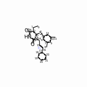 CCc1c(Sc2cc(C)cc(C)c2)n(C/C=C/c2ccccc2)c(=O)[nH]c1=O